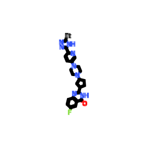 CCc1nnc(-c2ccc(N3CCN(C4CCC(c5nc6ccc(F)cc6c(=O)[nH]5)C4)CC3)cn2)[nH]1